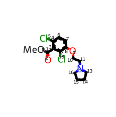 COC(=O)c1c(Cl)ccc(OCCN2CCCC2)c1Cl